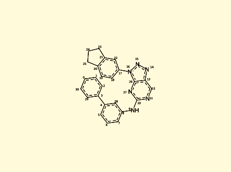 c1ccc(-c2cccc(Nc3ncc4nnn(-c5ccc6c(c5)CCC6)c4n3)c2)cc1